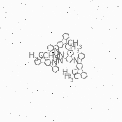 CC1(C)c2ccccc2-c2cc3c4ccccc4n(-c4nc(-c5ccc(-n6c7ccccc7c7cc8c(cc76)C(C)(C)c6ccccc6-8)c6ccccc56)nc(-n5c6ccccc6c6cc7c(cc65)C(C)(C)c5ccccc5-7)n4)c3cc21